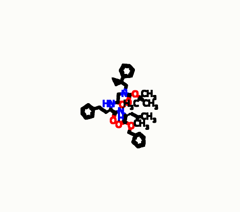 CC(C)C[C@@H](NC(=O)[C@@H](CCc1ccccc1)NC(=O)CN(CC1(c2ccccc2)CC1)C(=O)OC(C)(C)C)C(=O)OCc1ccccc1